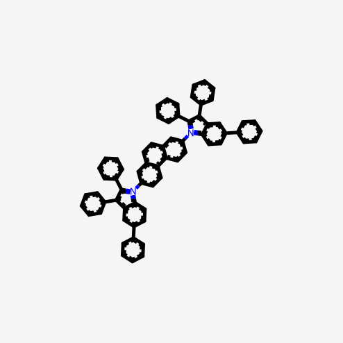 c1ccc(-c2ccc3c(c2)c(-c2ccccc2)c(-c2ccccc2)n3-c2ccc3c(ccc4cc(-n5c(-c6ccccc6)c(-c6ccccc6)c6cc(-c7ccccc7)ccc65)ccc43)c2)cc1